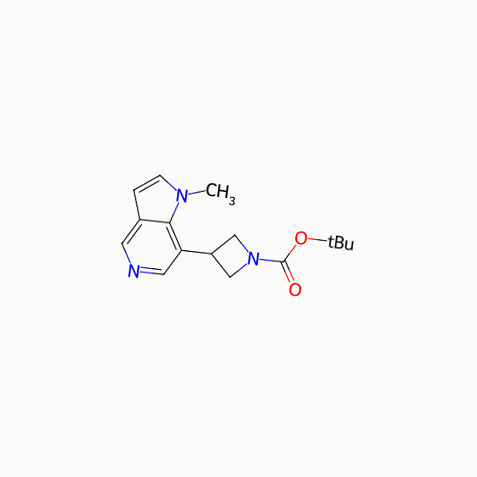 Cn1ccc2cncc(C3CN(C(=O)OC(C)(C)C)C3)c21